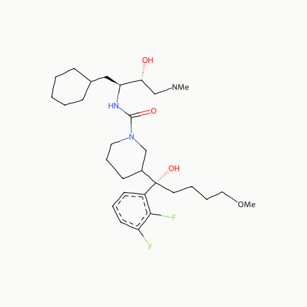 CNC[C@@H](O)[C@H](CC1CCCCC1)NC(=O)N1CCCC([C@@](O)(CCCCOC)c2cccc(F)c2F)C1